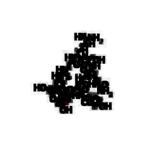 N=C(N)NCCC[C@H](NC(=O)CCNC(=S)Nc1ccc2c(c1)C(=O)OC21c2ccc(O)cc2Oc2cc(O)ccc21)C(=O)N[C@@H](CO)C(=O)N[C@@H](CCCNC(N)=O)C(=O)NCC(=O)N[C@@H](CCc1ccccc1)C(=O)N[C@@H](Cc1ccc(O)cc1)C(=O)O